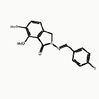 COc1ccc2c(c1OC)C(=O)N(/N=C/c1ccc(F)cc1)C2